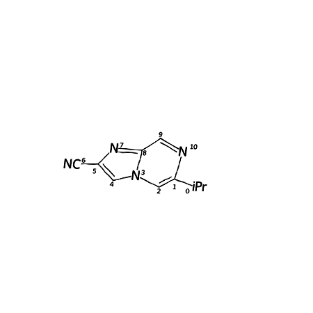 CC(C)c1cn2cc(C#N)nc2cn1